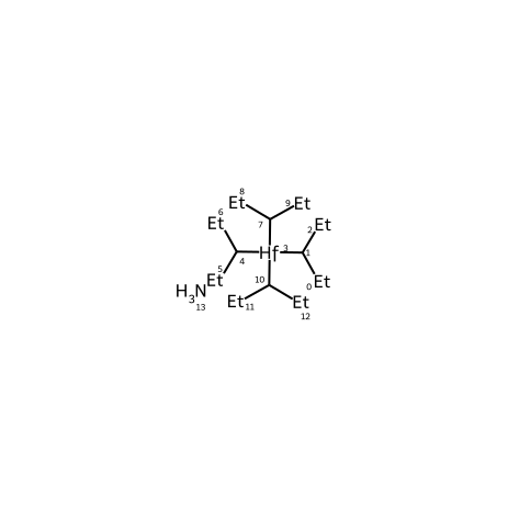 CC[CH](CC)[Hf]([CH](CC)CC)([CH](CC)CC)[CH](CC)CC.N